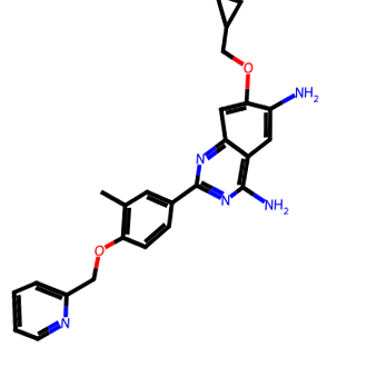 Cc1cc(-c2nc(N)c3cc(N)c(OCC4CC4)cc3n2)ccc1OCc1ccccn1